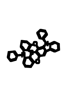 c1ccc(N2c3cccc4c3B3c5c(cccc52)Oc2c3c(cc3c5ccccc5n(-c5ccccc5)c23)O4)cc1